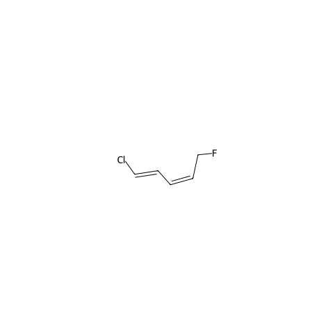 FC/C=C\C=C\Cl